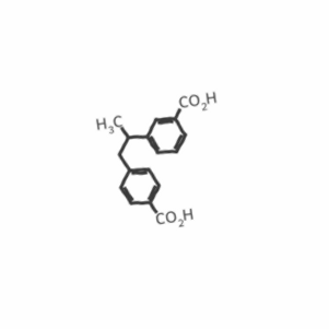 CC(Cc1ccc(C(=O)O)cc1)c1cccc(C(=O)O)c1